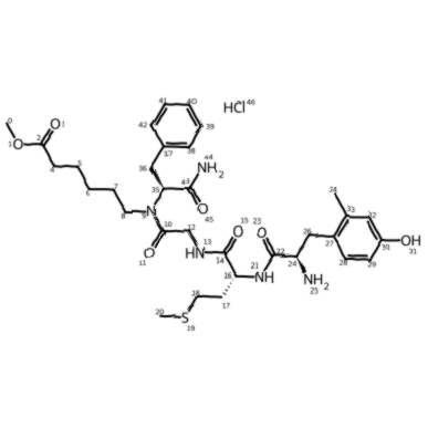 COC(=O)CCCCCN(C(=O)CNC(=O)[C@@H](CCSC)NC(=O)[C@H](N)Cc1ccc(O)cc1C)[C@@H](Cc1ccccc1)C(N)=O.Cl